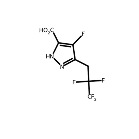 O=C(O)c1[nH]nc(CC(F)(F)C(F)(F)F)c1F